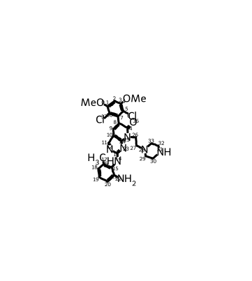 COc1cc(OC)c(Cl)c(-c2cc3cnc(Nc4c(C)cccc4N)nc3n(CCN3CCNCC3)c2=O)c1Cl